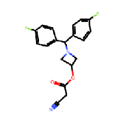 N#CCC(=O)OC1CN(C(c2ccc(F)cc2)c2ccc(F)cc2)C1